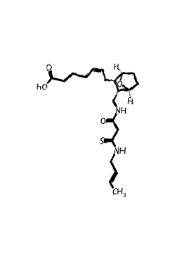 CC=CCNC(=S)CC(=O)NC[C@H]1[C@@H](C/C=C\CCCC(=O)O)[C@H]2CC[C@@H]1O2